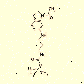 CC(=O)N1CCc2ccc(NCCCNC(=O)OC(C)(C)C)cc21